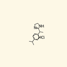 CC(C)c1ccc(C(C)C2=NCCN2)cc1.Cl